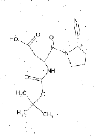 CC(C)(C)OC(=O)NC(CC(=O)O)C(=O)N1CCC[C@H]1C#N